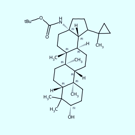 CC(C)(C)OC(=O)N[C@]12CCC(C3(C)CC3)[C@@H]1[C@H]1CC[C@@H]3[C@@]4(C)CC[C@H](O)C(C)(C)[C@@H]4CC[C@@]3(C)[C@]1(C)CC2